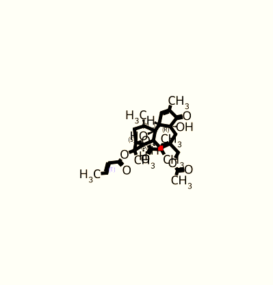 C/C=C/C(=O)OC1(C)[C@@H]2[C@@H]3C=C(COC(C)=O)C[C@]4(O)C(=O)C(C)=C[C@H]4[C@@]3(O)[C@H](C)C[C@]21OC(=O)C(C)C